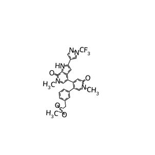 Cn1cc(-c2cccc(CS(C)(=O)=O)c2)c(-c2cn(C)c(=O)c3[nH]c(-c4cnn(C(F)(F)F)c4)cc23)cc1=O